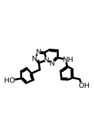 OCc1cccc(Nc2ccc3nnc(Cc4ccc(O)cc4)n3n2)c1